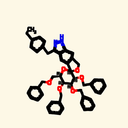 CCc1ccc(Cc2n[nH]c3cc4c(cc23)[C@]2(OC4)O[C@H](COCc3ccccc3)[C@@H](OCc3ccccc3)[C@H](OCc3ccccc3)[C@H]2OCc2ccccc2)cc1